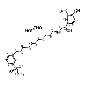 NS(=O)(=O)c1cccc(CCCCOCCCCCCNCC(O)c2ccc(O)c(CO)n2)c1.O=CO